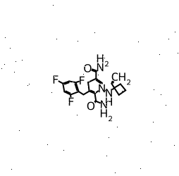 C=CC1(NN2C=C(C(N)=O)CC(Cc3c(F)cc(F)cc3F)=C2C(N)=O)CCC1